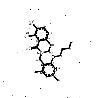 CCCCOc1nc(C)cc(C)c1CN1CCc2ccc(Br)c(Cl)c2C1=O